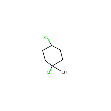 CC1(Cl)CCC(Cl)CC1